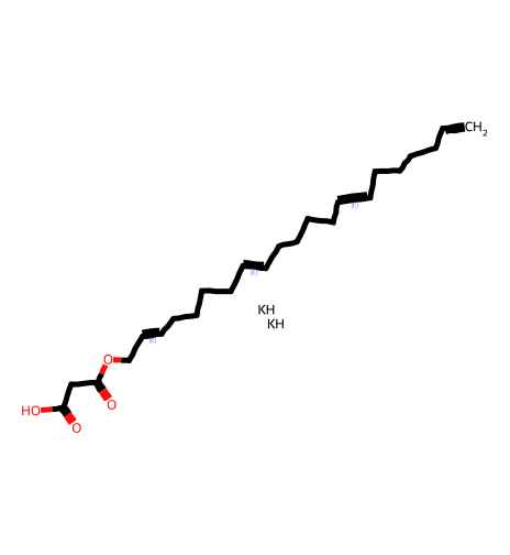 C=CCCCC/C=C/CCCC/C=C/CCCC/C=C/COC(=O)CC(=O)O.[KH].[KH]